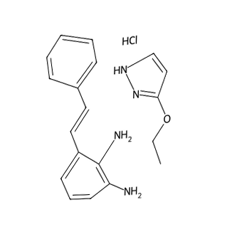 CCOc1cc[nH]n1.Cl.Nc1cccc(C=Cc2ccccc2)c1N